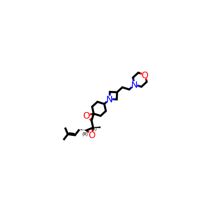 CC(C)=CC[C@H]1O[C@@]1(C)C1OC12CCC(N1CC(CCN3CCOCC3)C1)CC2